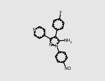 Nc1c(-c2ccc(F)cc2)c(-c2ccncc2)nn1-c1ccc(N=O)cc1